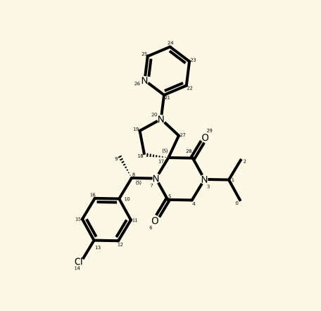 CC(C)N1CC(=O)N([C@@H](C)c2ccc(Cl)cc2)[C@]2(CCN(c3ccccn3)C2)C1=O